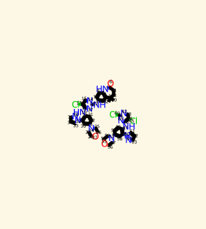 CC1(C)CCC(=O)Nc2ccc(Nc3ncc(Cl)c(Nc4ccc(N5CCOCC5)cc4-n4cccn4)n3)cc21.Clc1ncc(Cl)c(Nc2ccc(N3CCOCC3)cc2-n2cccn2)n1